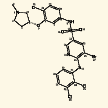 CN1CC[C@@H](Oc2cc(NS(=O)(=O)c3cnc(Sc4cccc(Cl)c4Cl)c(Br)c3)ccc2Cl)C1